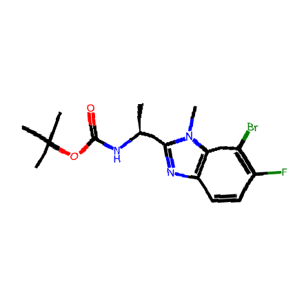 C[C@H](NC(=O)OC(C)(C)C)c1nc2ccc(F)c(Br)c2n1C